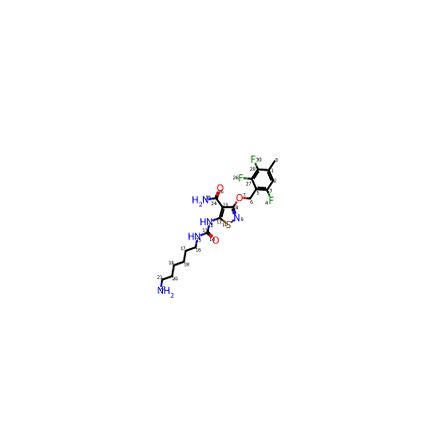 Cc1cc(F)c(COc2nsc(NC(=O)NCCCCCCN)c2C(N)=O)c(F)c1F